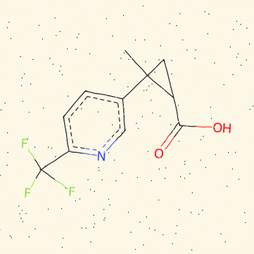 CC1(c2ccc(C(F)(F)F)nc2)CC1C(=O)O